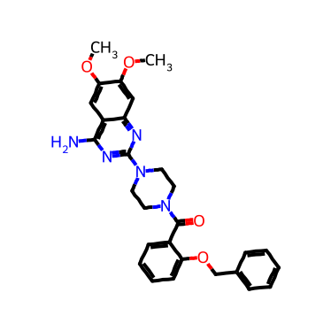 COc1cc2nc(N3CCN(C(=O)c4ccccc4OCc4ccccc4)CC3)nc(N)c2cc1OC